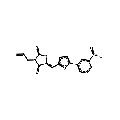 C=CCN1C(=O)C(=Cc2ccc(-c3cccc([N+](=O)[O-])c3)o2)SC1=S